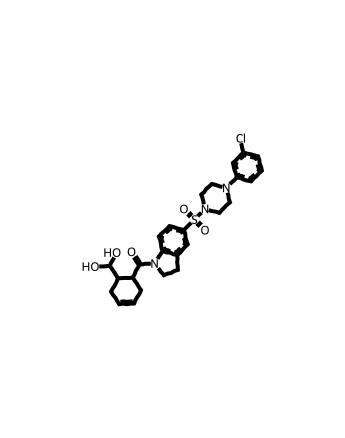 O=C(C1CC=CCC1C(O)O)N1CCc2cc(S(=O)(=O)N3CCN(c4cccc(Cl)c4)CC3)ccc21